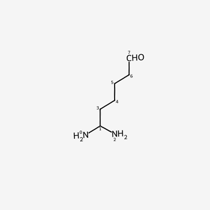 NC(N)CCCCC=O